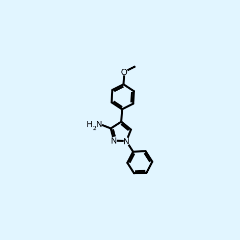 COc1ccc(-c2cn(-c3ccccc3)nc2N)cc1